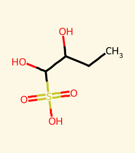 CCC(O)C(O)S(=O)(=O)O